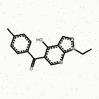 CCn1ncc2c(O)c(C(=O)c3ccc(C)cc3)cnc21